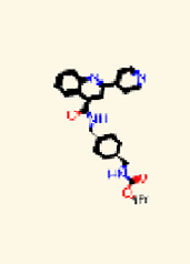 CC(C)OC(=O)NC[C@H]1CC[C@H](CNC(=O)c2cc(-c3ccncc3)nc3ccccc23)CC1